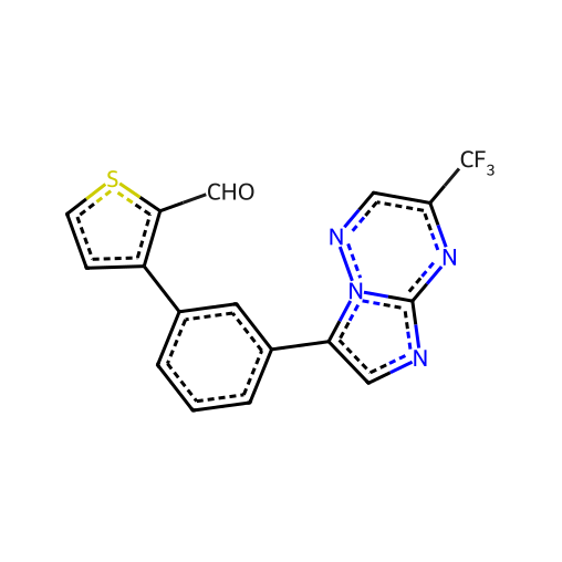 O=Cc1sccc1-c1cccc(-c2cnc3nc(C(F)(F)F)cnn23)c1